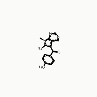 CCc1c(C(=O)c2ccc(O)cc2)c2cncnc2n1C